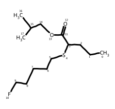 CCCC(SCCCCCF)C(=O)OCC(C)C